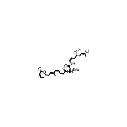 C/C(Cl)=C\C[C@@H](C/C=C\NC(=O)[C@@H](NC(=O)\C=C/C=C\C(C)=C\[C@H](C)[C@@H]1CC=CC(=O)O1)C(C)(C)C)OC(C)C